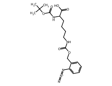 CC(C)(C)OC(=O)NC(CCCCNC(=O)OCc1ccccc1N=[N+]=[N-])C(=O)O